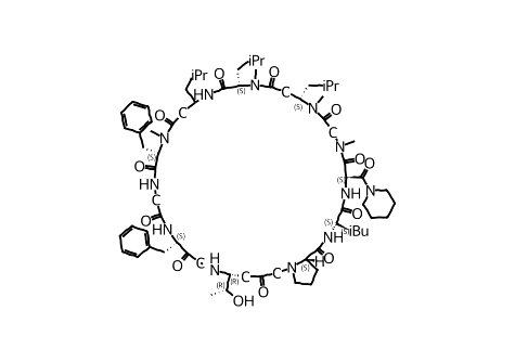 CC[C@H](C)[C@@H]1NC(=O)[C@@H]2CCCN2CC(=O)C[C@H]([C@@H](C)O)NCC(=O)[C@H](Cc2ccccc2)NC(=O)CNC(=O)[C@H](Cc2ccccc2)N(C)C(=O)CC(CC(C)C)NC(=O)[C@H](CC(C)C)N(C)C(=O)C[C@H](CC(C)C)N(C)C(=O)CN(C)C(=O)[C@@H](C(=O)N2CCCCC2)NC1=O